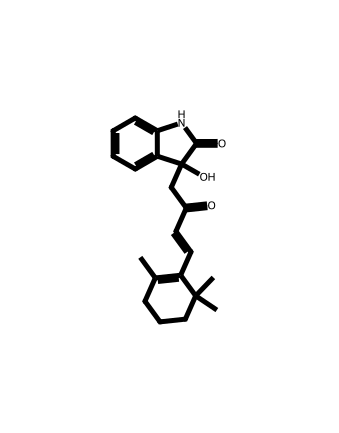 CC1=C(/C=C/C(=O)CC2(O)C(=O)Nc3ccccc32)C(C)(C)CCC1